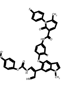 Cc1ccc(C(=O)Nc2ccc(Oc3cc4ccn(C)c4cc3/C(C=N)=C/NC(=O)Oc3ccc([N+](=O)[O-])cc3)c(F)c2)c(=O)n1-c1ccc(F)cc1